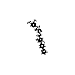 CC(C)c1cc(NC(=O)[C@@H]2CCN(CC(=O)N3C[C@@H]4C[C@H]3CN4c3ccc(-c4ncccn4)cc3)C2)ccc1O